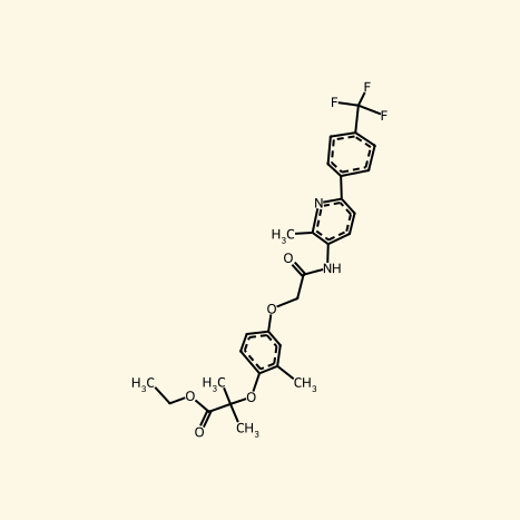 CCOC(=O)C(C)(C)Oc1ccc(OCC(=O)Nc2ccc(-c3ccc(C(F)(F)F)cc3)nc2C)cc1C